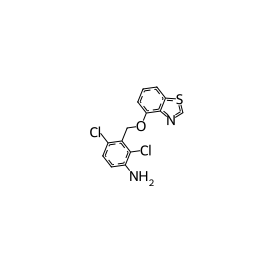 Nc1ccc(Cl)c(COc2cccc3scnc23)c1Cl